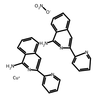 Nc1nc(-c2ccccn2)cc2ccccc12.Nc1nc(-c2ccccn2)cc2ccccc12.O=[N+]([O-])[O-].[Cu+]